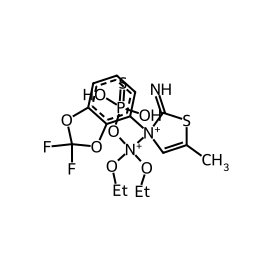 CCO[N+](OCC)(OP(O)(O)=S)[N+]1(c2cccc3c2OC(F)(F)O3)C=C(C)SC1=N